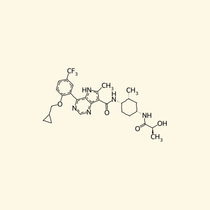 Cc1[nH]c2c(-c3cc(C(F)(F)F)ccc3OCC3CC3)ncnc2c1C(=O)N[C@H]1CC[C@@H](NC(=O)[C@H](C)O)C[C@H]1C